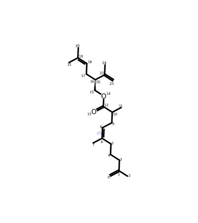 C=C(C)CCC/C(C)=C\CC(C)C(=O)OC[C@@H](CC=C(C)C)C(=C)C